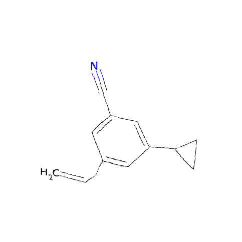 C=Cc1cc(C#N)cc(C2CC2)c1